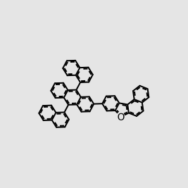 c1ccc2c(-c3c4ccccc4c(-c4cccc5ccccc45)c4cc(-c5ccc6c(c5)oc5ccc7ccccc7c56)ccc34)cccc2c1